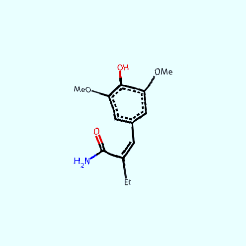 CCC(=Cc1cc(OC)c(O)c(OC)c1)C(N)=O